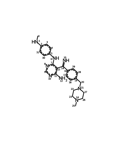 CNc1ccc(Nc2ncnc(N)c2C(=N)c2ccc(CN3CCN(C)CC3)cc2)cc1